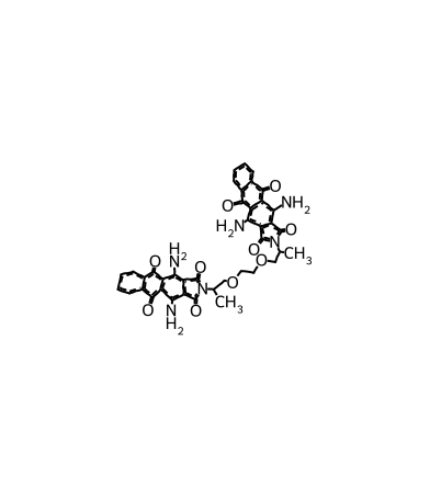 CC(COCCOCC(C)n1c(=O)c2c(N)c3c(=O)c4ccccc4c(=O)c3c(N)c2c1=O)n1c(=O)c2c(N)c3c(=O)c4ccccc4c(=O)c3c(N)c2c1=O